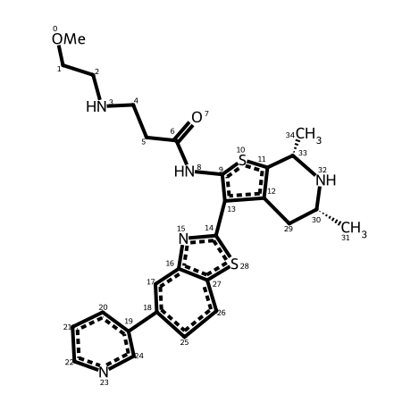 COCCNCCC(=O)Nc1sc2c(c1-c1nc3cc(-c4cccnc4)ccc3s1)C[C@@H](C)N[C@H]2C